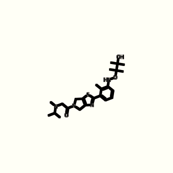 Cc1c(NOC(C)(C)C(C)(C)O)cccc1-c1nc2c(s1)CN(C(=O)CN(C)C(C)C)C2